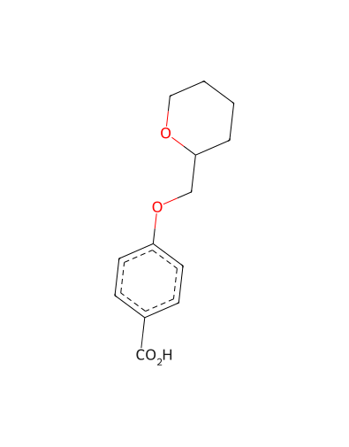 O=C(O)c1ccc(OCC2CCCCO2)cc1